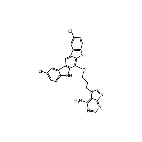 Nc1ncnc2ncn(CCCOc3c4[nH]c5ccc(Cl)cc5c4cc4c3[nH]c3ccc(Cl)cc34)c12